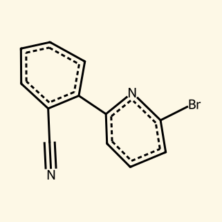 N#Cc1ccccc1-c1cccc(Br)n1